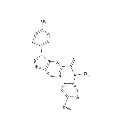 COc1ccc(N(C)C(=O)c2cn3c(-c4ccc(C(F)(F)F)cc4)cnc3cn2)nn1